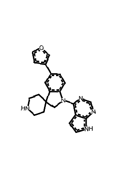 c1nc(N2CC3(CCNCC3)c3cc(-c4ccoc4)ccc32)c2cc[nH]c2n1